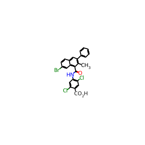 Cc1c(-c2ccccc2)cc2ccc(Br)cc2c1C(=O)Nc1cc(Cl)c(C(=O)O)cc1Cl